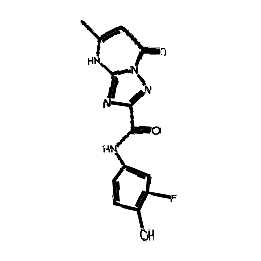 Cc1cc(=O)n2nc(C(=O)Nc3ccc(O)c(F)c3)nc2[nH]1